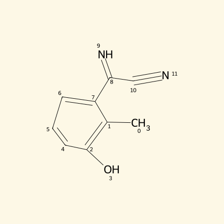 Cc1c(O)cccc1C(=N)C#N